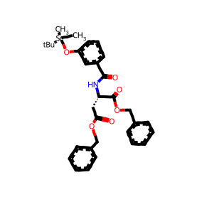 CC(C)(C)[Si](C)(C)Oc1cccc(C(=O)N[C@@H](CC(=O)OCc2ccccc2)C(=O)OCc2ccccc2)c1